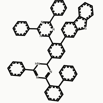 c1ccc(C2=NC(c3ccccc3-c3ccccc3)=NC(c3ccc(-c4ccc5c(c4)sc4ccccc45)c(-c4nc(-c5ccccc5)nc(-c5ccccc5)n4)c3)N2)cc1